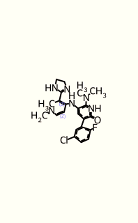 C=N/C=C\C(Nc1cc(-c2cc(Cl)ccc2F)c(=O)[nH]c1N(C)C)=C(/C)C1=NCCN1